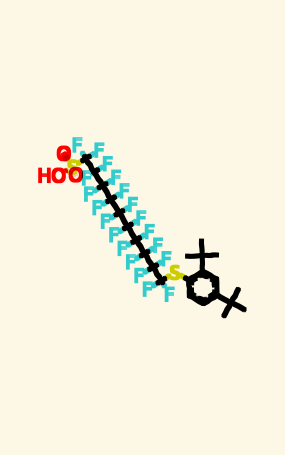 CC(C)(C)c1ccc(SC(F)(F)C(F)(F)C(F)(F)C(F)(F)C(F)(F)C(F)(F)C(F)(F)C(F)(F)C(F)(F)C(F)(F)S(=O)(=O)O)c(C(C)(C)C)c1